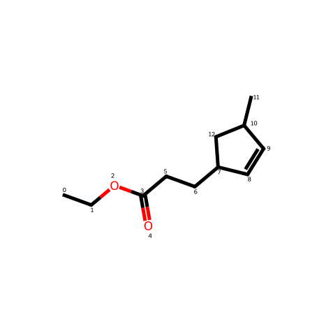 CCOC(=O)CCC1C=CC(C)C1